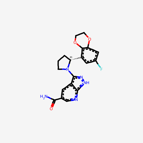 NC(=O)c1cnc2[nH]nc(N3CCC[C@@H]3c3cc(F)cc4c3OCCO4)c2c1